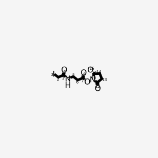 O=C(CI)NCCC(=O)ON1C(=O)CCC1=O